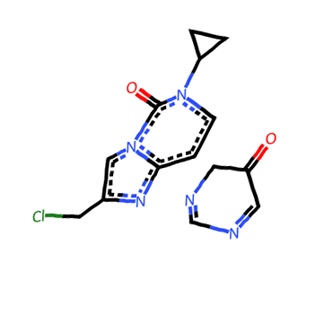 O=C1C=NC=NC1.O=c1n(C2CC2)ccc2nc(CCl)cn12